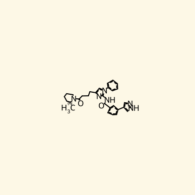 C[C@@H]1CCCCN1C(=O)CCCc1cn(-c2ccccc2)c(NC(=O)c2cccc(-c3cn[nH]c3)c2)n1